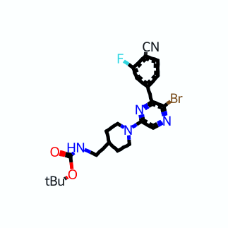 CC(C)(C)OC(=O)NCC1CCN(c2cnc(Br)c(-c3ccc(C#N)c(F)c3)n2)CC1